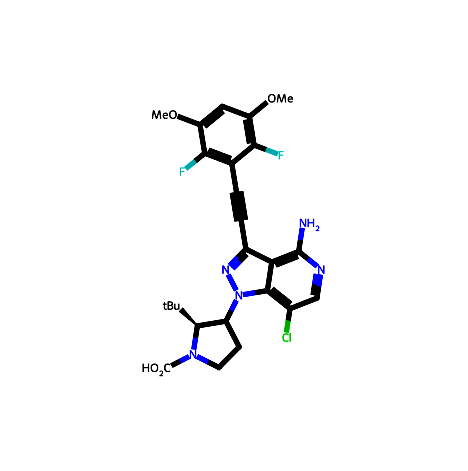 COc1cc(OC)c(F)c(C#Cc2nn(C3CCN(C(=O)O)[C@H]3C(C)(C)C)c3c(Cl)cnc(N)c23)c1F